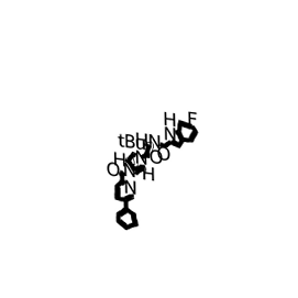 CC(C)(C)[C@H](NC(=O)c1cc2ccc(F)cc2[nH]1)C(=O)N1C[C@@H]2C[C@H]1CN2C(=O)c1ccc(-c2ccccc2)cn1